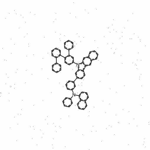 c1ccc(-c2ccccc2-c2ccc(-n3c4cc(-c5cccc(N(c6ccccc6)c6cccc7ccccc67)c5)ccc4c4cc5ccccc5cc43)cc2-c2ccccc2)cc1